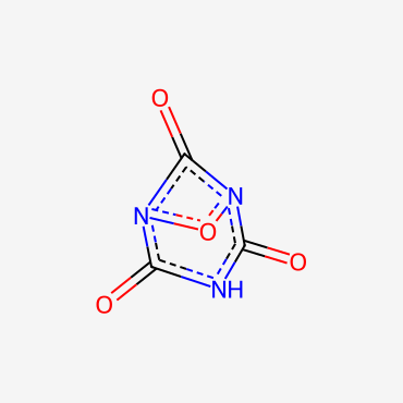 O=c1[nH]c(=O)n2on1c2=O